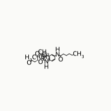 CCCCCC(=O)Nc1ccc(NC(=O)O[C@@H](CC=O)C(C)(C)OC)c(Cl)c1